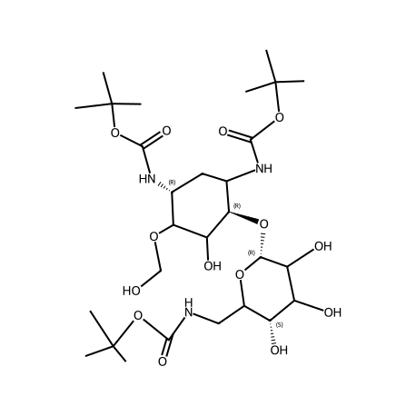 CC(C)(C)OC(=O)NCC1O[C@H](O[C@@H]2C(NC(=O)OC(C)(C)C)C[C@@H](NC(=O)OC(C)(C)C)C(OCO)C2O)C(O)C(O)[C@@H]1O